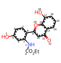 CCOC(=O)Nc1cc(O)ccc1-c1cc(=O)c2cccc(O)c2o1